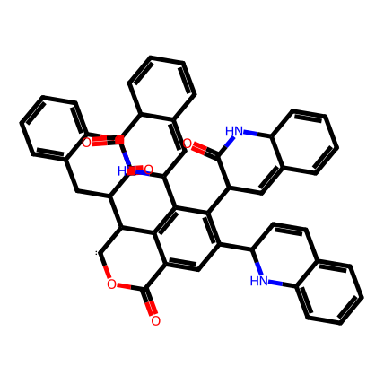 O=C1O[C]C(C2Cc3ccccc3OC2=O)c2c1cc(C1C=Cc3ccccc3N1)c(C1C=C3C=CC=CC3NC1=O)c2C1C=C2C=CC=CC2C(=O)N1